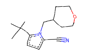 CC(C)(C)c1ccc(C#N)n1CC1CCOCC1